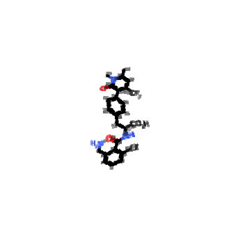 CCc1cccc(CN)c1C(=O)N[C@@H](Cc1ccc(-c2c(C(F)(F)F)cc(C)n(C)c2=O)cc1)C(=O)O